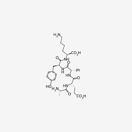 CC(C)[C@H](NC(=O)[C@H](CCC(=O)O)NC(=O)[C@H](C)N)C(=O)N[C@@H](Cc1ccc(O)cc1)C(=O)N[C@@H](CCCCN)C(=O)O